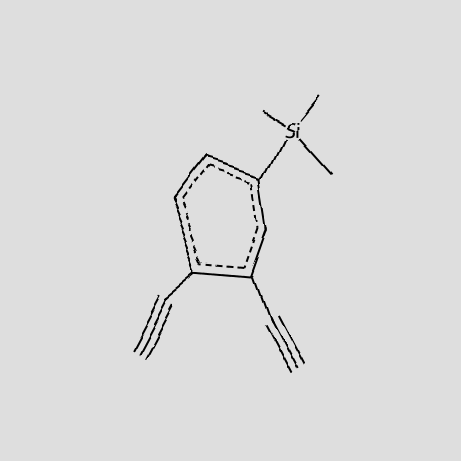 C#Cc1ccc([Si](C)(C)C)cc1C#C